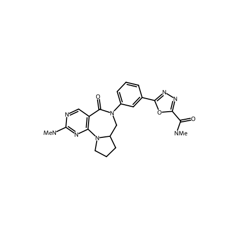 CNC(=O)c1nnc(-c2cccc(N3CC4CCCN4c4nc(NC)ncc4C3=O)c2)o1